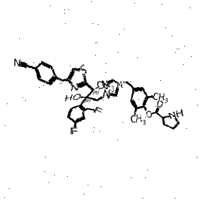 Cc1cc(C[n+]2cnn(C[C@](O)(c3ccc(F)cc3F)[C@@H](C)c3nc(-c4ccc(C#N)cc4)cs3)c2)cc(C)c1OC(=O)C1CCCN1